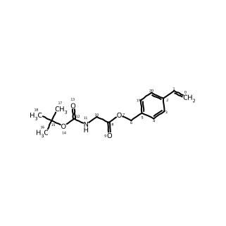 C=Cc1ccc(COC(=O)CNC(=O)OC(C)(C)C)cc1